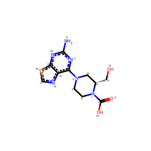 Nc1nc(N2CCN(C(=O)O)[C@@H](CO)C2)c2ncsc2n1